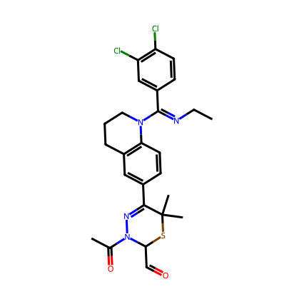 CCN=C(c1ccc(Cl)c(Cl)c1)N1CCCc2cc(C3=NN(C(C)=O)C(C=O)SC3(C)C)ccc21